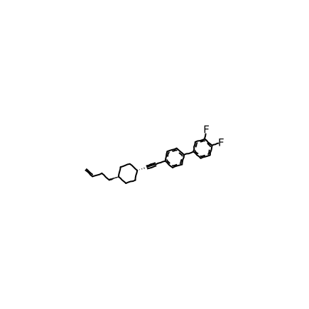 C=CCC[C@H]1CC[C@H](C#Cc2ccc(-c3ccc(F)c(F)c3)cc2)CC1